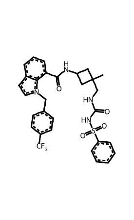 CC1(CNC(=O)NS(=O)(=O)c2ccccc2)CC(NC(=O)c2cccc3ccn(Cc4ccc(C(F)(F)F)cc4)c23)C1